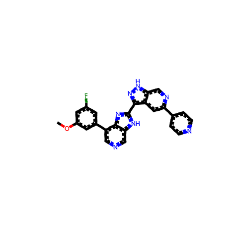 COc1cc(F)cc(-c2cncc3[nH]c(-c4n[nH]c5cnc(-c6ccncc6)cc45)nc23)c1